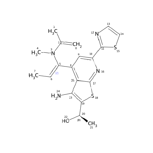 C=C(C)N(C)/C(=C\C)c1cc(-c2nccs2)nc2sc([C@@H](C)O)c(N)c12